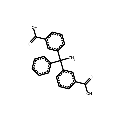 CC(c1ccccc1)(c1cccc(C(=O)O)c1)c1cccc(C(=O)O)c1